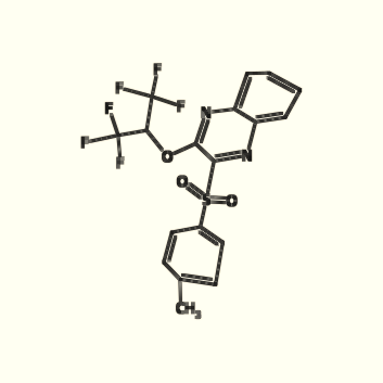 Cc1ccc(S(=O)(=O)c2nc3ccccc3nc2OC(C(F)(F)F)C(F)(F)F)cc1